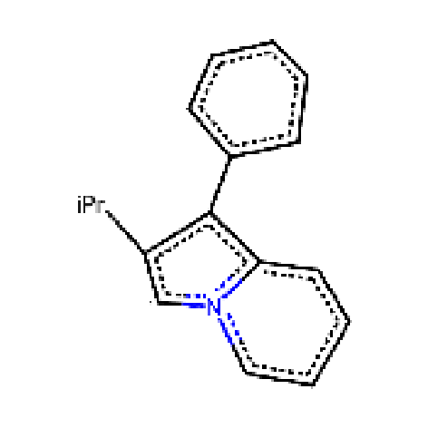 CC(C)c1[c]n2ccccc2c1-c1ccccc1